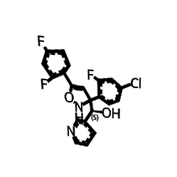 O[C@@H](c1cccnc1)C1(c2ccc(Cl)cc2F)C=C(c2ccc(F)cc2F)ON1